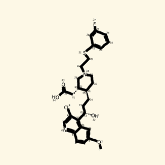 COc1ccc2ncc(Cl)c([C@@H](O)CC[C@@H]3CCN(CCSc4cccc(F)c4)C[C@H]3CC(=O)O)c2c1